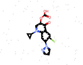 O=C(O)Oc1cn(C2CC2)c2cc(-n3cccn3)c(F)cc2c1=O